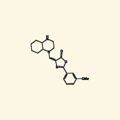 COc1cccc(C2=NC(=CN3CCNC4CCCCC43)C(=O)O2)c1